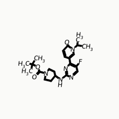 CC(C)n1cc(-c2nc(NC3CCN(C(=O)OC(C)(C)C)CC3)ncc2F)ccc1=O